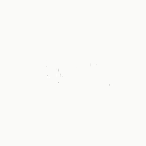 CC(=O)N1C(=NNc2ccc(CCc3cc(O)ccc3O)c(Cl)c2)C(=O)c2ccccc21